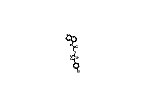 CCc1ccc(-c2nnc(SCC(=O)Nc3cccc4cnccc34)[nH]2)cc1